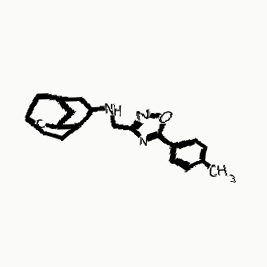 Cc1ccc(-c2nc(CNC3CC4CC5CCC3C(C5)C4)no2)cc1